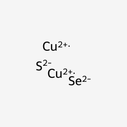 [Cu+2].[Cu+2].[S-2].[Se-2]